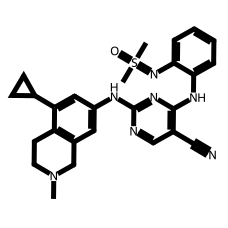 CN1CCc2c(cc(Nc3ncc(C#N)c(Nc4ccccc4N=S(C)(C)=O)n3)cc2C2CC2)C1